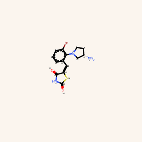 N[C@H]1CCN(c2c(Br)cccc2C=C2SC(=O)NC2=O)C1